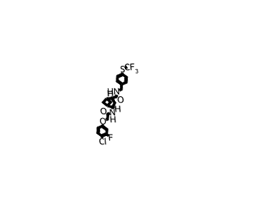 O=C(COc1ccc(Cl)c(F)c1)N[C@@H]1C[C@H](C(=O)NCc2ccc(SC(F)(F)F)cc2)C2CC1C2